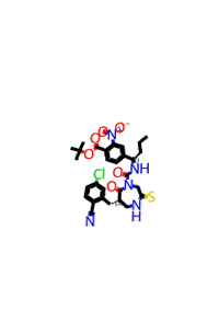 CCC[C@@H](NC(=O)N1CC(=S)NC[C@H](Cc2cc(Cl)ccc2C#N)C1=O)c1ccc(C(=O)OC(C)(C)C)c([N+](=O)[O-])c1